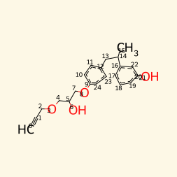 C#CCOCC(O)COc1ccc(CC(C)c2cccc(O)c2)cc1